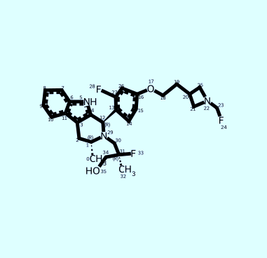 C[C@@H]1Cc2c([nH]c3ccccc23)[C@@H](c2ccc(OCCC3CN(CF)C3)cc2F)N1C[C@@](C)(F)CO